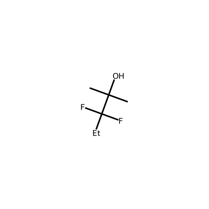 [CH2]CC(F)(F)C(C)(C)O